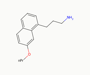 CCCOc1ccc2cccc(CCCN)c2c1